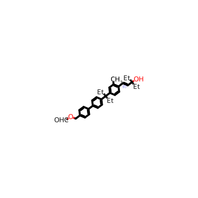 CCC(O)(/C=C/c1ccc(C(CC)(CC)c2ccc(-c3ccc(COC=O)cc3)cc2)cc1C)CC